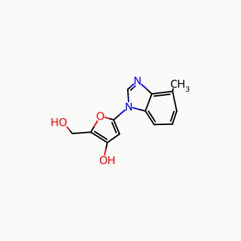 Cc1cccc2c1ncn2-c1cc(O)c(CO)o1